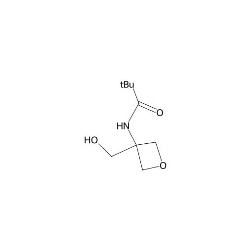 CC(C)(C)C(=O)NC1(CO)COC1